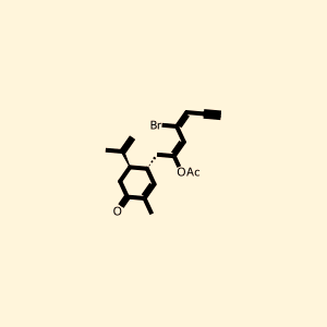 C#C/C=C(Br)\C=C(/C[C@@H]1C=C(C)C(=O)C[C@H]1C(=C)C)OC(C)=O